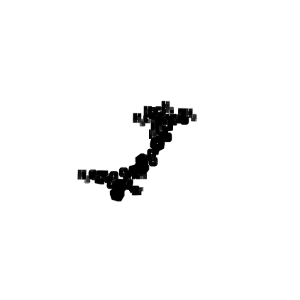 CC(=O)N[C@H](C(=O)N[C@@H](CCCNC(N)=O)C(=O)Nc1ccc(COC(=O)N2CCc3c2ccc2[nH]c(C(=O)N4C[C@@H](CBr)c5c4cc(OC(=O)N4CCN(C)CC4)c4ccccc54)cc32)cc1)C(C)C